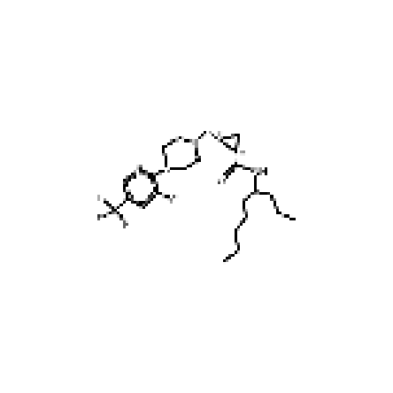 CCCCCC(CCC)NC(=O)[C@H]1C[C@H]1CN1CCN(c2ncc(C(F)(F)F)cc2Cl)CC1